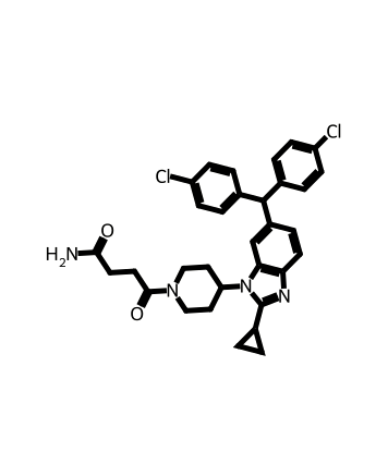 NC(=O)CCC(=O)N1CCC(n2c(C3CC3)nc3ccc(C(c4ccc(Cl)cc4)c4ccc(Cl)cc4)cc32)CC1